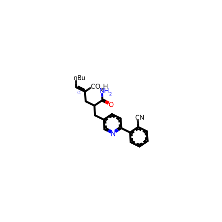 CCCC/C=C(/CC(Cc1ccc(-c2ccccc2C#N)nc1)C(N)=O)C(=O)O